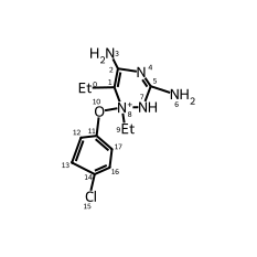 CCC1=C(N)N=C(N)N[N+]1(CC)Oc1ccc(Cl)cc1